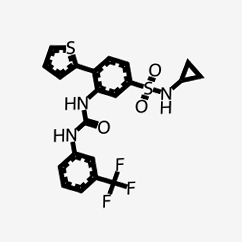 O=C(Nc1cccc(C(F)(F)F)c1)Nc1cc(S(=O)(=O)NC2CC2)ccc1-c1cccs1